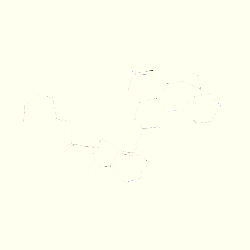 O=C(NC1CCCCC1)c1cc2c(-c3nc(N4CCNCC4)c4c(C5CC5)cncc4n3)ccnc2[nH]1